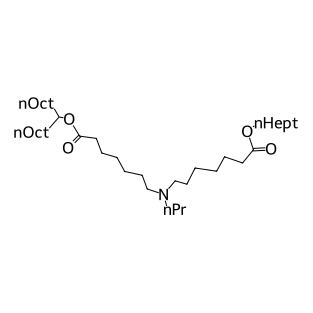 CCCCCCCCC(CCCCCCCC)OC(=O)CCCCCCN(CCC)CCCCCCC(=O)OCCCCCCC